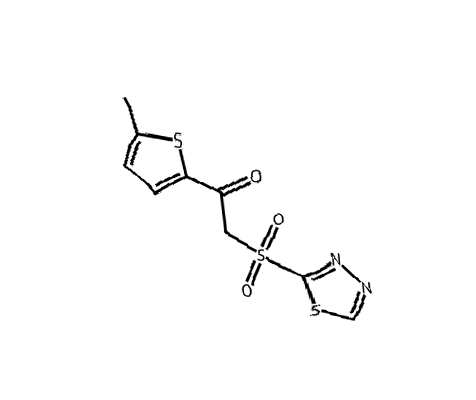 Cc1ccc(C(=O)CS(=O)(=O)c2nncs2)s1